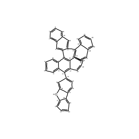 c1ccc2cc(-c3c4ccccc4c(-c4ccc5c(c4)oc4ccccc45)c4ccccc34)c(-c3cccc4ccccc34)cc2c1